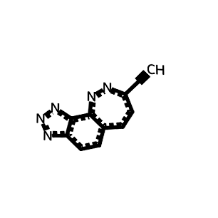 C#Cc1ccc2ccc3nnnc3c2nn1